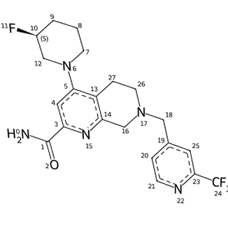 NC(=O)c1cc(N2CCC[C@H](F)C2)c2c(n1)CN(Cc1ccnc(C(F)(F)F)c1)CC2